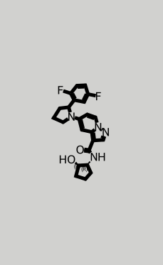 O=C(N[C@@H]1CCC[C@H]1O)c1cnn2ccc(N3CCCC3c3cc(F)ccc3F)cc12